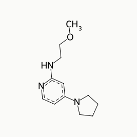 COCCNc1cc(N2CCCC2)ccn1